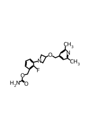 Cc1cc(COC2CN(c3cccc(COC(N)=O)c3F)C2)cc(C)n1